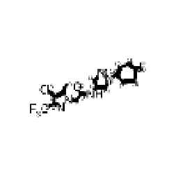 Cc1c(Cl)c(C(F)(F)F)nn1CC(=O)Nc1cnn(-c2ccc(F)cc2)c1